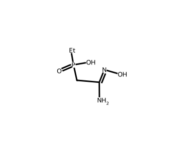 CCP(=O)(O)CC(N)=NO